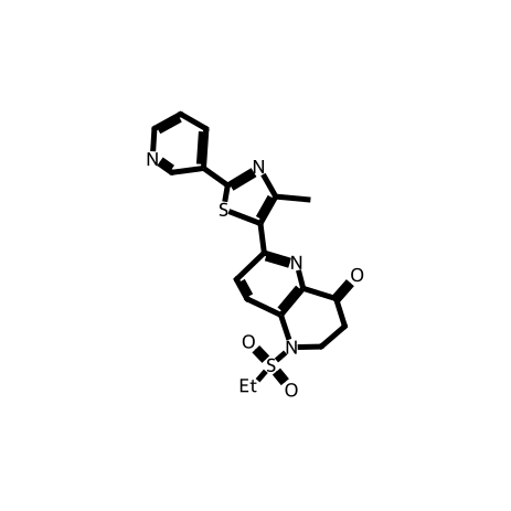 CCS(=O)(=O)N1CCC(=O)c2nc(-c3sc(-c4cccnc4)nc3C)ccc21